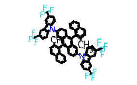 Cc1ccc2ccccc2c1-c1c2ccc(-n3c4ccc(C(F)(F)F)cc4c4cc(C(F)(F)F)ccc43)cc2c(-c2c(C)ccc3ccccc23)c2ccc(-n3c4ccc(C(F)(F)F)cc4c4cc(C(F)(F)F)ccc43)cc12